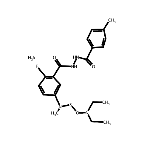 CCN(CC)OSN(C)c1ccc(F)c(C(=O)NNC(=O)c2ccc(C)cc2)c1.S